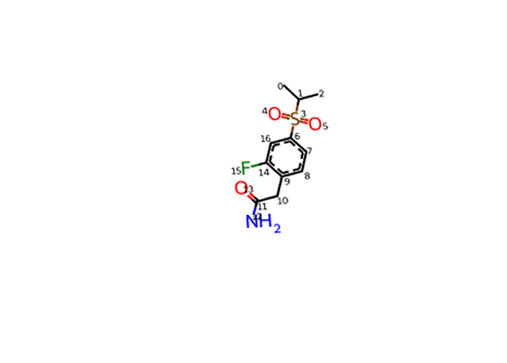 CC(C)S(=O)(=O)c1ccc(CC(N)=O)c(F)c1